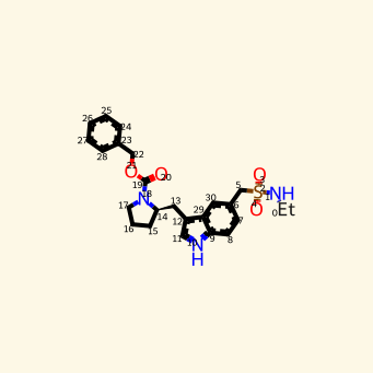 CCNS(=O)(=O)Cc1ccc2[nH]cc(C[C@H]3CCCN3C(=O)OCc3ccccc3)c2c1